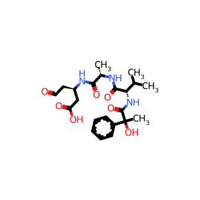 CC(C)[C@H](NC(=O)C(C)(O)c1ccccc1)C(=O)N[C@@H](C)C(=O)N[C@H](CC=O)CC(=O)O